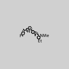 C=C(c1cnc2c(c1)CCCN2c1ccc2c(c1)CN(Cc1ccc(CC)cc1NC)C2=C)N1CCC(C)(F)CC1